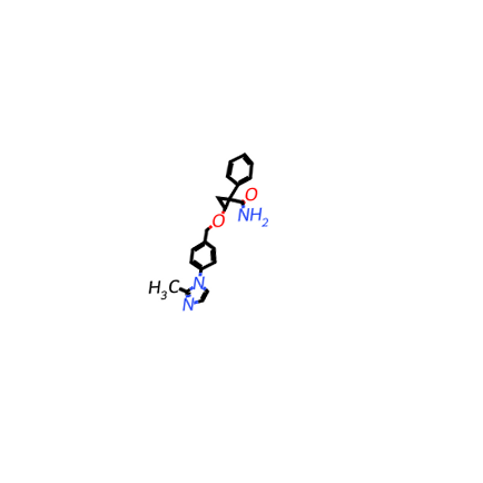 Cc1nccn1-c1ccc(COC2CC2(C(N)=O)c2ccccc2)cc1